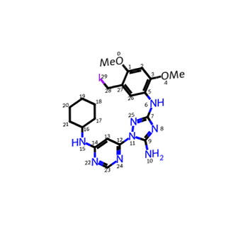 COc1cc(OC)c(Nc2nc(N)n(-c3cc(NC4CCCCC4)ncn3)n2)cc1CI